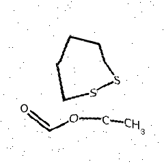 C1CCSSC1.CCOC=O